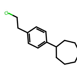 ClCCc1ccc(C2CCCCCC2)cc1